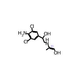 C/C(=C\O)NCC(O)c1cc(Cl)c(N)c(Cl)c1